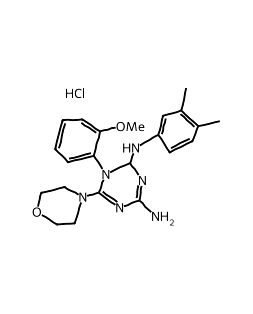 COc1ccccc1N1C(N2CCOCC2)=NC(N)=NC1Nc1ccc(C)c(C)c1.Cl